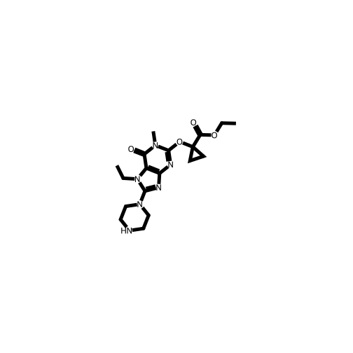 CCOC(=O)C1(Oc2nc3nc(N4CCNCC4)n(CC)c3c(=O)n2C)CC1